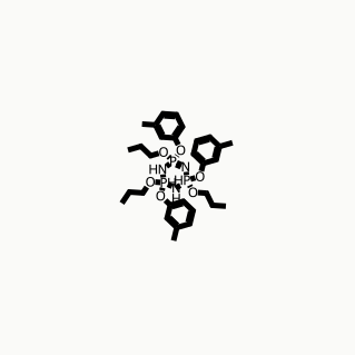 CCCOP1(Oc2cccc(C)c2)=N[PH](OCCC)(Oc2cccc(C)c2)N[PH](OCCC)(Oc2cccc(C)c2)N1